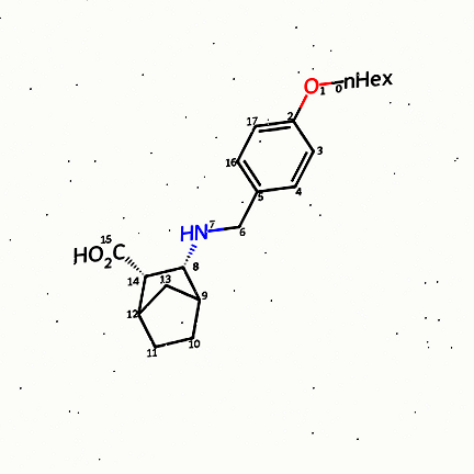 CCCCCCOc1ccc(CN[C@@H]2C3CCC(C3)[C@@H]2C(=O)O)cc1